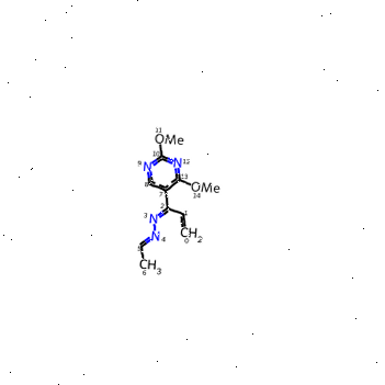 C=C/C(=N\N=CC)c1cnc(OC)nc1OC